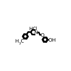 Cc1ccc(CC2CCN(CCOc3cccc(O)c3)CC2)cc1.Cl